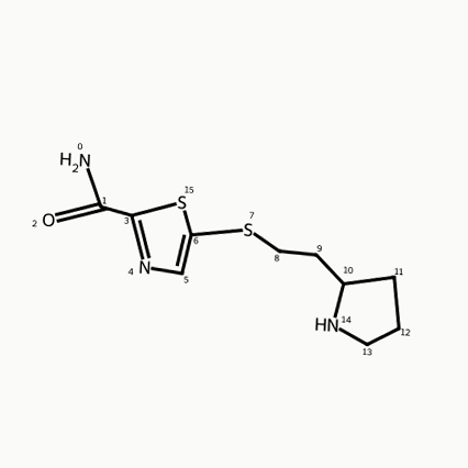 NC(=O)c1ncc(SCCC2CCCN2)s1